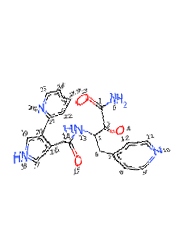 NC(=O)C(=O)C(Cc1ccncc1)NC(=O)c1c[nH]cc1-c1ccccn1